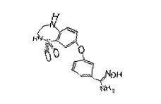 NC(=NO)c1cccc(Oc2ccc3c(c2)S(=O)(=O)NCCN3)c1